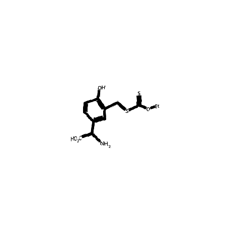 CCOC(=S)SCc1cc(C(N)C(=O)O)ccc1O